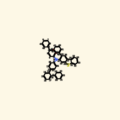 c1ccc(-c2ccc(N(c3ccc(-c4ccccc4-c4ccccc4)cc3)c3cc4sc5ccccc5c4cc3-c3ccccc3)cc2)cc1